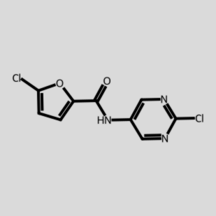 O=C(Nc1cnc(Cl)nc1)c1ccc(Cl)o1